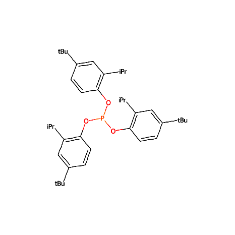 CC(C)c1cc(C(C)(C)C)ccc1OP(Oc1ccc(C(C)(C)C)cc1C(C)C)Oc1ccc(C(C)(C)C)cc1C(C)C